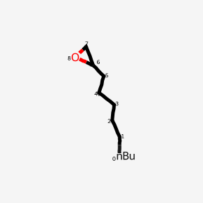 CCCCCCC[CH]CC1CO1